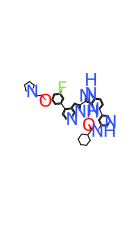 O=C(Nc1cncc(-c2ccc3[nH]nc(-c4cc5c(-c6cc(F)cc(OCCN7CCCC7)c6)ccnc5[nH]4)c3n2)c1)C1CCCCC1